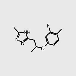 Cc1nnc(C[C@H](C)Oc2ccc(C)c(F)c2)[nH]1